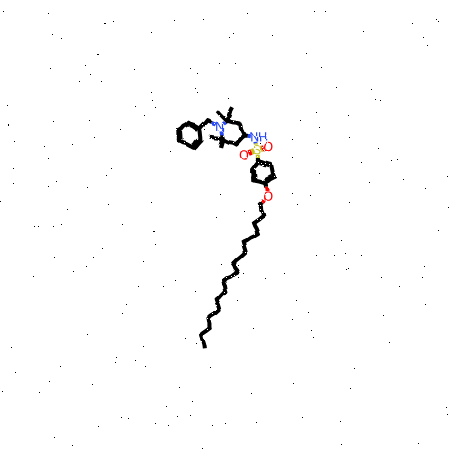 CCCCCCCCCCCCCCCCOc1ccc(S(=O)(=O)NC2CC(C)(C)N(Cc3ccccc3)C(C)(C)C2)cc1